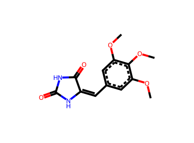 COc1cc(/C=C2/NC(=O)NC2=O)cc(OC)c1OC